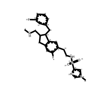 CNCC1Cc2cc(F)c(CCNS(=O)(=O)c3cn(C)cn3)cc2C1Cc1cccc(F)c1